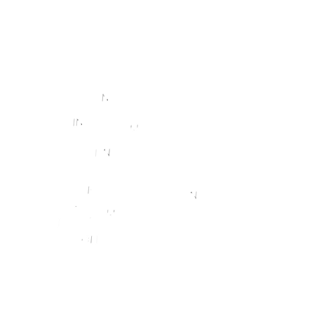 O=C(Nc1ccc2c(c1)CCN(C1CCC1)CC2)c1nc2ccccc2[nH]1.O=C(O)C(F)(F)F